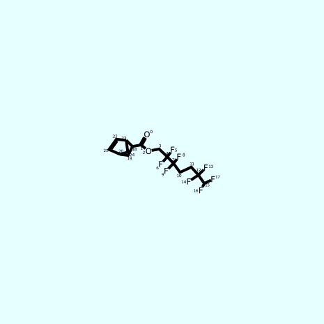 O=C(OCC(F)(F)C(F)(F)CCC(F)(F)C(F)F)C1CC2C=CC1C2